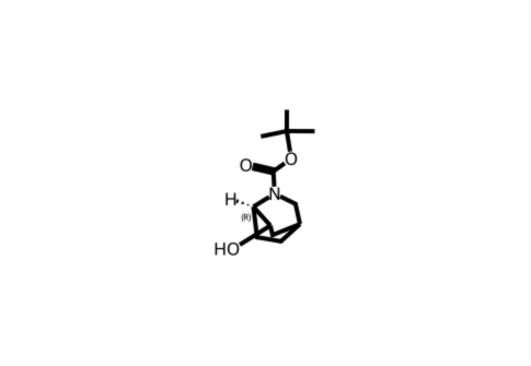 CC(C)(C)OC(=O)N1CC2CC[C@@H]1C(O)C2